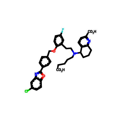 O=C(O)CCCCN(CCc1cc(F)ccc1OCc1ccc(-c2nc3cc(Cl)ccc3o2)cc1)C1CCCc2nc(C(=O)O)ccc21